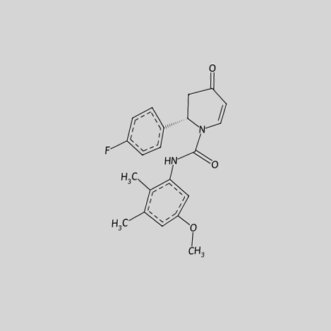 COc1cc(C)c(C)c(NC(=O)N2C=CC(=O)C[C@H]2c2ccc(F)cc2)c1